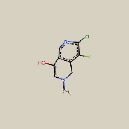 CN1C=C(O)c2cnc(Cl)c(F)c2C1